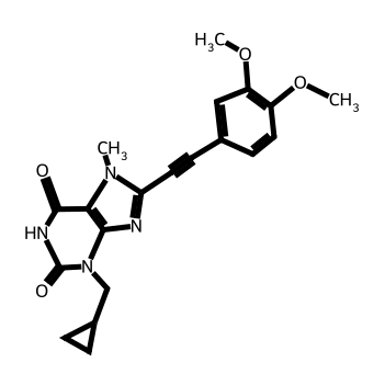 COc1ccc(C#Cc2nc3c(c(=O)[nH]c(=O)n3CC3CC3)n2C)cc1OC